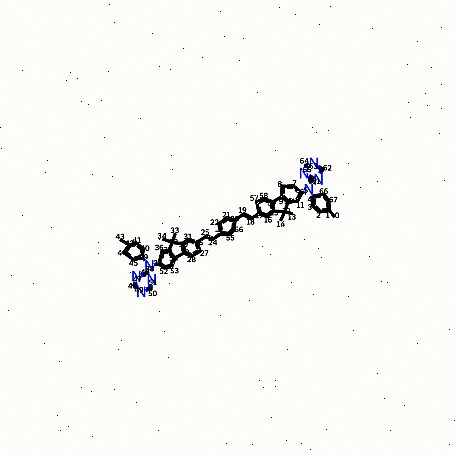 Cc1ccc(N(c2ccc3c(c2)C(C)(C)c2cc(/C=C/c4ccc(/C=C/c5ccc6c(c5)C(C)(C)c5cc(N(c7ccc(C)cc7)c7ncncn7)ccc5-6)cc4)ccc2-3)c2ncncn2)cc1